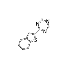 [c]1ncnc(-c2cc3ccccc3s2)n1